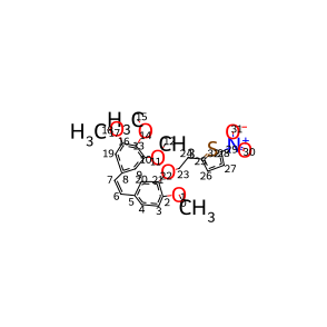 COc1ccc(/C=C\c2cc(OC)c(OC)c(OC)c2)cc1OCCc1ccc([N+](=O)[O-])s1